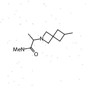 CNC(=O)C(C)N1CC2(CC(C)C2)C1